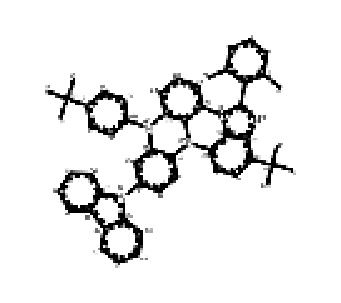 Cc1cccc(C)c1-c1nc2c(C(C)(C)C)ccc3c2n1-c1cccc2c1B3c1ccc(-n3c4ccccc4c4ccccc43)cc1N2c1ccc(C(C)(C)C)cc1